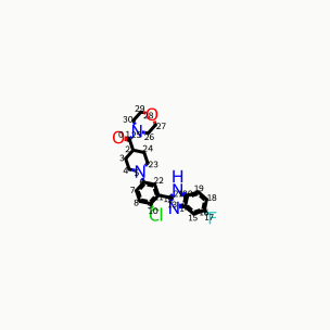 O=C(C1CCN(c2ccc(Cl)c(-c3nc4cc(F)ccc4[nH]3)c2)CC1)N1CCOCC1